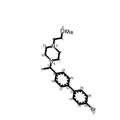 COCCN1CCN(C(C)c2ccc(-c3ccc(Br)cc3)cc2)CC1